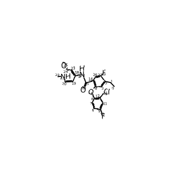 CCc1cc(Oc2ccc(F)cc2Cl)c(C(=O)NC(/C=C\NC)=C/C=O)cc1F